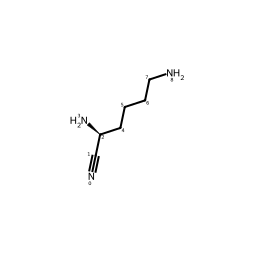 N#C[C@@H](N)CCCCN